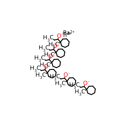 CCC([O-])C1(C)CCCCCC1.CCC([O-])C1(C)CCCCCC1.CCC([O-])C1(C)CCCCCC1.CCC([O-])C1(C)CCCCCC1.CCC([O-])C1(C)CCCCCC1.CCC([O-])C1(C)CCCCCC1.[Ba+2].[Ti+4]